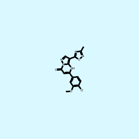 COc1cc(-c2cc(=O)n3ncc(-c4nc(C)no4)c3[nH]2)ccc1Cl